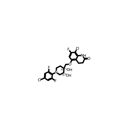 O=C1CCc2c(OC[C@]3(O)CCN(c4c(F)cc(Cl)cc4F)C[C@H]3O)cc(F)c(Cl)c2N1